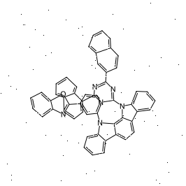 c1cc(-c2nc3ccccc3o2)cc(-n2c3ccccc3c3ccc4c5ccccc5n(-c5nc(-c6ccc7ccccc7c6)nc(-c6cccc7ccccc67)n5)c4c32)c1